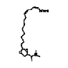 CCCCC/C=C\C/C=C\CCCCCCCCC1OCC(C(C)N(C)C)O1